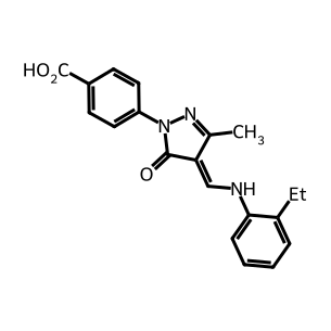 CCc1ccccc1NC=C1C(=O)N(c2ccc(C(=O)O)cc2)N=C1C